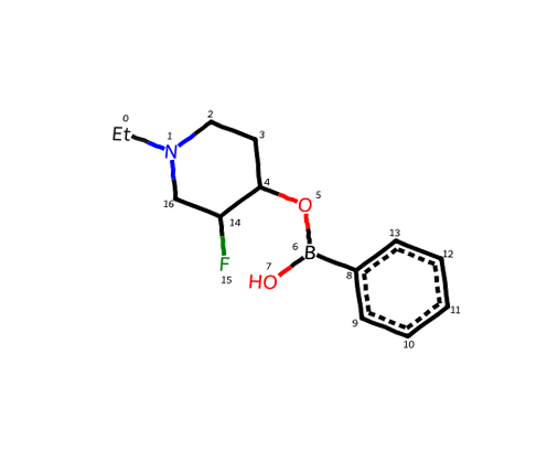 CCN1CCC(OB(O)c2ccccc2)C(F)C1